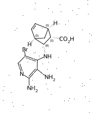 Nc1ncc(Br)c(N[C@H]2[C@@H](C(=O)O)[C@@H]3C=C[C@H]2C3)c1N